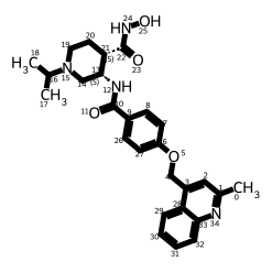 Cc1cc(COc2ccc(C(=O)N[C@@H]3CN(C(C)C)CC[C@@H]3C(=O)NO)cc2)c2ccccc2n1